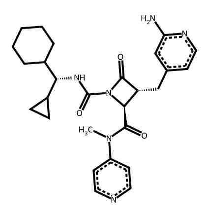 CN(C(=O)[C@@H]1[C@@H](Cc2ccnc(N)c2)C(=O)N1C(=O)N[C@@H](C1CCCCC1)C1CC1)c1ccncc1